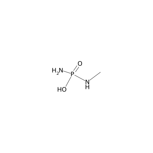 CNP(N)(=O)O